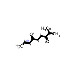 C/C=C/C(=O)CCC(=O)C(C)C